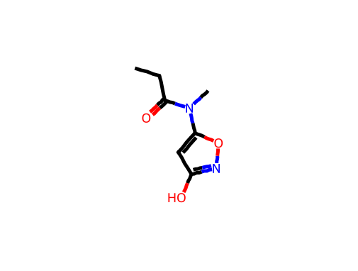 CCC(=O)N(C)c1cc(O)no1